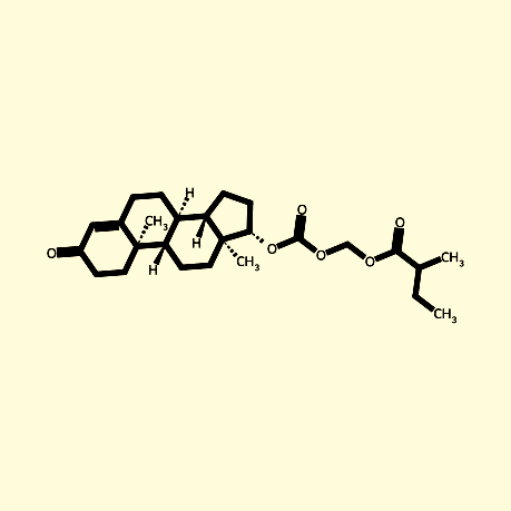 CCC(C)C(=O)OCOC(=O)O[C@H]1CC[C@H]2[C@@H]3CCC4=CC(=O)CC[C@]4(C)[C@H]3CC[C@]12C